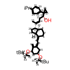 C=C1/C(=C\C=C2/CCC[C@]3(C)[C@@H](C(C)=CC[C@@H](O)C4(c5ccc(C(C)C)cc5)CC4)CC[C@@H]23)C[C@@H](O[Si](C)(C)C(C)(C)C)C[C@@H]1O[Si](C)(C)C(C)(C)C